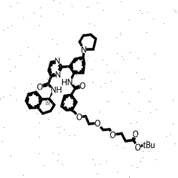 CC(C)(C)OC(=O)CCOCCOCCOc1cccc(C(=O)Nc2ccc(N3CCCCC3)cc2-c2nccc(C(=O)N[C@H]3CCCc4ccccc43)n2)c1